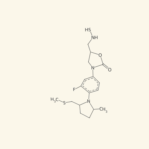 CSCC1CCC(C)N1c1ccc(N2CC(CNS)OC2=O)cc1F